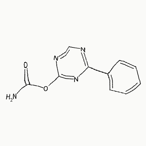 NC(=O)Oc1ncnc(-c2ccccc2)n1